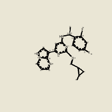 CC1CC1COc1nc(N[C@@H](C)c2ccc(F)cc2F)cc(-c2cnn3cccnc23)n1